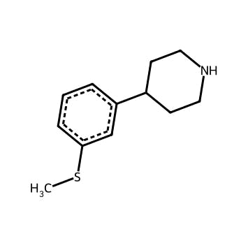 CSc1cccc(C2CCNCC2)c1